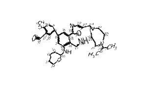 COc1ncc(-c2cc(NC3CCCCO3)c(C=N)c(-c3ncc(CN4CCN(C(C)C)CC4)o3)c2)cc1C=O